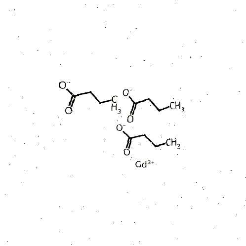 CCCC(=O)[O-].CCCC(=O)[O-].CCCC(=O)[O-].[Gd+3]